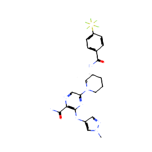 C[C@@H]1[C@H](NC(=O)c2ccc(S(F)(F)(F)(F)F)cc2)CCCN1c1cnc(C(N)=O)c(Nc2cnn(C)c2)n1